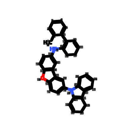 Cc1ccccc1C1=C(Nc2ccc3oc4ccc(-n5c6c(c7ccccc75)CCC=C6)cc4c3c2)CCC=C1